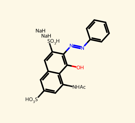 CC(=O)Nc1cc(S(=O)(=O)O)cc2cc(S(=O)(=O)O)c(N=Nc3ccccc3)c(O)c12.[NaH].[NaH]